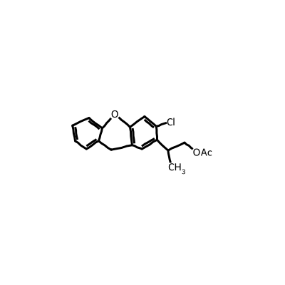 CC(=O)OCC(C)c1cc2c(cc1Cl)Oc1ccccc1C2